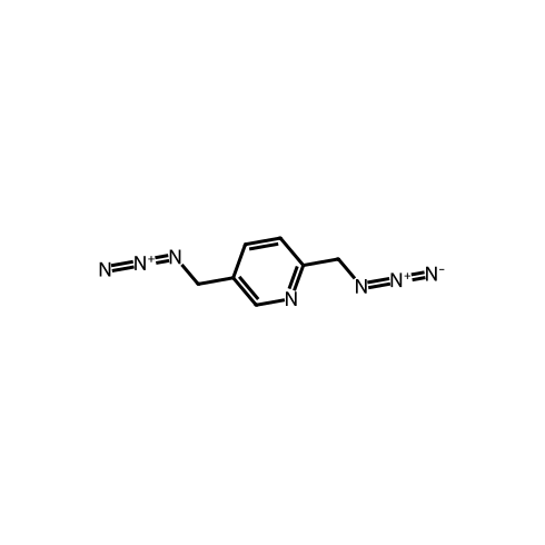 [N-]=[N+]=NCc1ccc(CN=[N+]=[N-])nc1